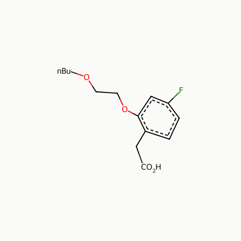 CCCCOCCOc1cc(F)ccc1CC(=O)O